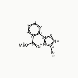 COC(=O)c1ccccc1-n1cnc(Br)n1